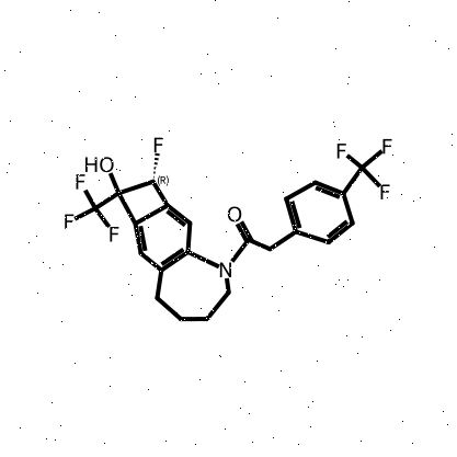 O=C(Cc1ccc(C(F)(F)F)cc1)N1CCCCc2cc3c(cc21)[C@@H](F)C3(O)C(F)(F)F